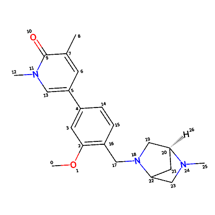 COc1cc(-c2cc(C)c(=O)n(C)c2)ccc1CN1C[C@@H]2CC1CN2C